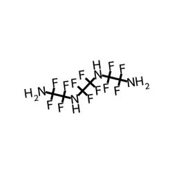 NC(F)(F)C(F)(F)NC(F)(F)C(F)(F)NC(F)(F)C(N)(F)F